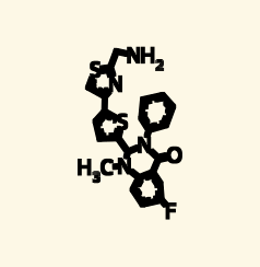 CN1c2ccc(F)cc2C(=O)N(c2ccccc2)C1c1ccc(-c2csc(CN)n2)s1